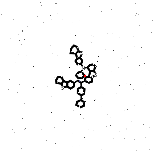 C(=C(/c1ccc(-c2ccccc2)cc1)c1ccc2sc3cccc(N(c4ccccc4)c4ccc5c(c4)sc4ccccc45)c3c2c1)/c1ccc2sc3ccccc3c2c1